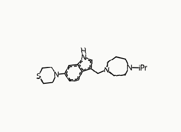 CC(C)N1CCCN(Cc2c[nH]c3cc(N4CCSCC4)ccc23)CC1